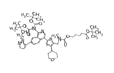 CN(Cc1nc(-c2cnc(N(C(=O)OC(C)(C)C)C(=O)OC(C)(C)C)c3cc(-c4ccnn4C)ccc23)sc1C1CCOCC1)C(=O)OCCCCC(=O)OC(C)(C)C